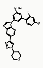 CC(=O)Nc1cc(-c2ccc(F)cc2F)cc(-n2cnc3cc(-c4cn(C5CCOCC5)nn4)cnc32)c1